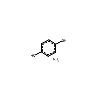 N.Sc1ccc(S)cc1